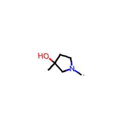 [CH2]N1CCC(C)(O)C1